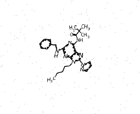 CCCCCn1c(-n2cccn2)nc2c(NC(=O)C(C)(C)C)nc(NCc3ccccc3)nc21